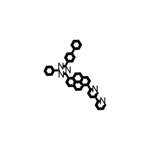 c1ccc(-c2ccc(-c3nc(-c4ccccc4)nc(-c4ccc5ccc6c(-c7ccc(-c8ccccn8)cn7)ccc7ccc4c5c76)n3)cc2)cc1